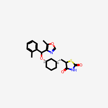 Cc1ccccc1C(O[C@H]1CCC[C@@H](CC2SC(=O)NC2=O)C1)c1ncoc1C